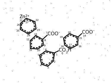 O=C(O)c1ccccc1.O=C([O-])c1ccccc1.O=C([O-])c1ccccc1.[Zn+2].c1ccccc1